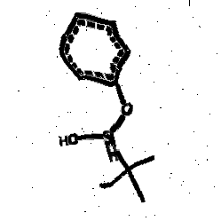 CC(C)(C)[SiH](O)Oc1ccccc1